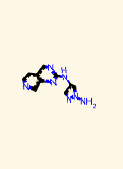 Nn1cc(Nc2ncc3ccncc3n2)cn1